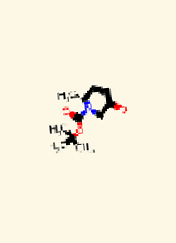 C[C@@H]1C=CC(=O)CN1C(=O)OC(C)(C)C